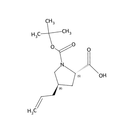 C=CC[C@@H]1C[C@@H](C(=O)O)N(C(=O)OC(C)(C)C)C1